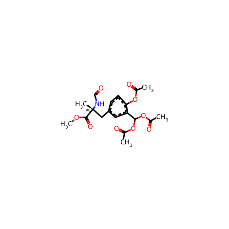 COC(=O)[C@@](C)(Cc1ccc(OC(C)=O)c(C(OC(C)=O)OC(C)=O)c1)NC=O